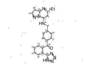 CCc1cc(NCc2ccc(C(=O)c3ccccc3-c3nnn[nH]3)cc2)n2nccc2n1